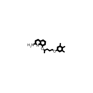 Cc1cc(OCCCC(C)Oc2cccc3ccc(N)nc23)cc(C)c1C